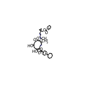 C/C(=C\C=C\C1(COC(=O)N2CCCC2)CC1)[C@H]1C(=O)C(=O)C[C@H](O)CC[C@@](C)(O)[C@H](OC(=O)N2CCN(C3CCCCCC3)CC2)/C=C/[C@@H]1C